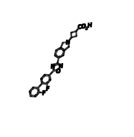 O=C(O)C1CC(N2Cc3ccc(-c4noc(-c5ccc(-c6ccccc6F)c(F)c5)n4)cc3C2)C1